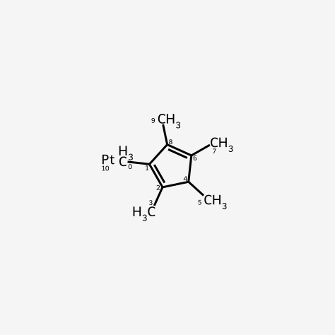 CC1=C(C)C(C)C(C)=C1C.[Pt]